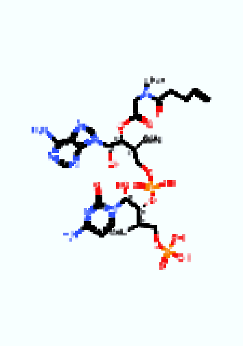 C=CCCC(=O)N(CCCCCC)CC(=O)O[C@@H]([C@@H](O)n1cnc2c(N)ncnc21)[C@@H](COP(=O)(O)O[C@@H]([C@@H](O)n1ccc(N)nc1=O)[C@@H](COP(=O)(O)O)OC)OC